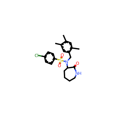 Cc1cc(C)c(CN(C2CCCCNC2=O)S(=O)(=O)c2ccc(Cl)cc2)cc1C